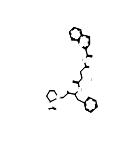 NC(=O)[C@@H]1CCCN1CC(O)C(Cc1ccccc1)NC(=O)[C@@H](N)CC(=O)NC(=O)c1ccc2ccccc2n1